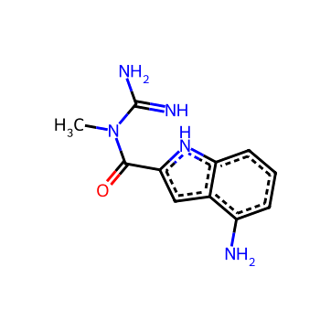 CN(C(=N)N)C(=O)c1cc2c(N)cccc2[nH]1